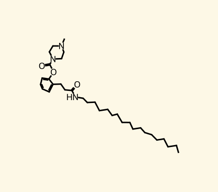 CCCCCCCCCCCCCCCCCCNC(=O)CCc1ccccc1OC(=O)N1CCN(C)CC1